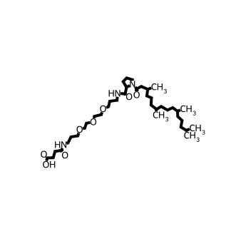 CC(C)CCCC(C)CCCC(C)CCCC(C)CC(=O)N1CCCC1C(=O)NCCCOCCOCCOCCCNC(=O)CCC(=O)O